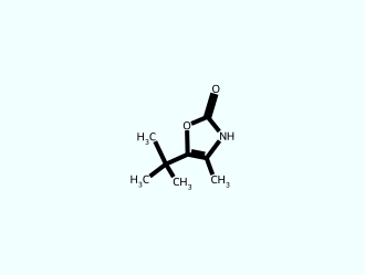 Cc1[nH]c(=O)oc1C(C)(C)C